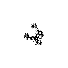 Cc1c(-c2cnc3c(c2)c([C@H](C)c2c(OC[C@@H]4COC(C)(C)O4)ccc(F)c2Cl)cn3C(=O)OC(C)(C)C)cnn1C